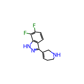 Fc1ccc2c(C3=CCCNC3)n[nH]c2c1F